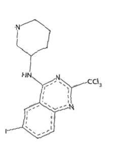 ClC(Cl)(Cl)c1nc(NC2CCC[N]C2)c2cc(I)ccc2n1